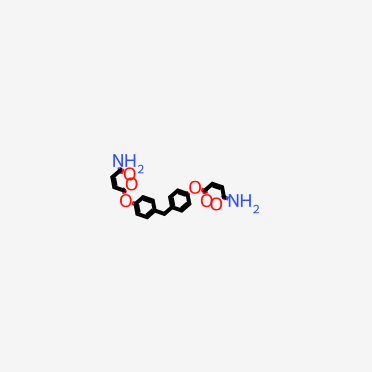 NC(=O)/C=C\C(=O)Oc1ccc(Cc2ccc(OC(=O)/C=C\C(N)=O)cc2)cc1